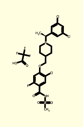 C[C@@H](c1cc(Cl)cc(Cl)c1)N1CCC(COc2cc(F)c(C(=O)NS(C)(=O)=O)cc2Cl)CC1.O=C(O)C(F)(F)F